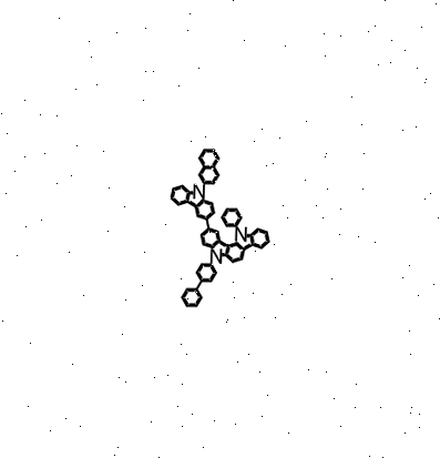 c1ccc(-c2ccc(-n3c4ccc(-c5ccc6c(c5)c5ccccc5n6-c5ccc6ccccc6c5)cc4c4c3ccc3c5ccccc5n(-c5ccccc5)c34)cc2)cc1